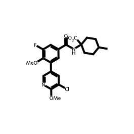 COc1ncc(-c2cc(C(=O)NC3(C(=O)O)CCC(C)CC3)cc(F)c2OC)cc1Cl